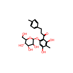 Cc1ccc(CCC(=O)c2c(O[C@@H]3OC(CO)[C@@H](O)[C@H](O)C3O)cc(O)c(C)c2O)cc1